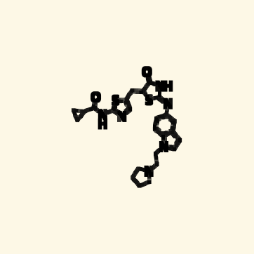 O=C1N/C(=N/c2ccc3c(ccn3CCN3CCCC3)c2)S/C1=C\c1cnc(NC(=O)C2CC2)s1